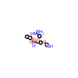 N=C(N)c1cccc(OC[C@H](Cc2ccc(OC3CCNCC3)cc2)NS(=O)(=O)c2ccc3ccccc3c2)c1